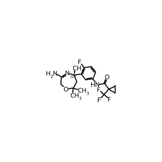 CC1(C)C[C@@](C)(c2cc(NC(=O)C3(C(F)(F)F)CC3)ccc2F)N=C(N)CO1